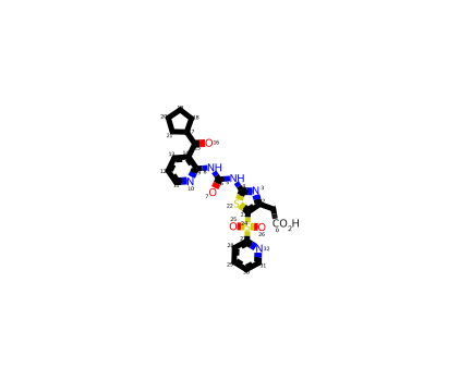 O=C(O)Cc1nc(NC(=O)Nc2ncccc2C(=O)C2CCCC2)sc1S(=O)(=O)c1ccccn1